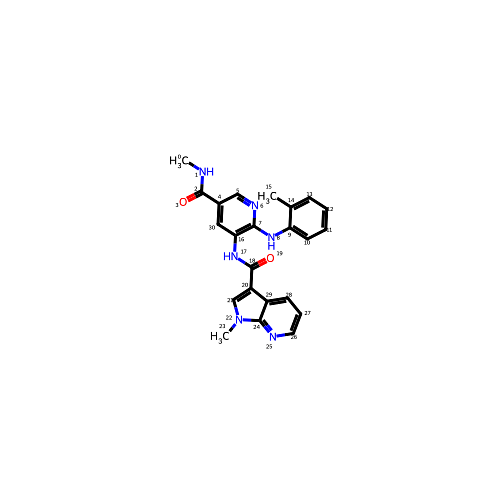 CNC(=O)c1cnc(Nc2ccccc2C)c(NC(=O)c2cn(C)c3ncccc23)c1